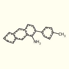 Cc1ccc(-c2ccc3cc4ccccc4cc3c2N)cc1